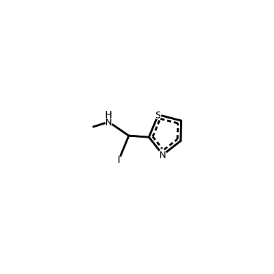 CNC(I)c1nccs1